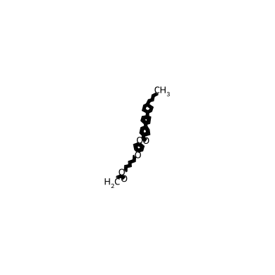 C=CC(=O)OCCCCCCOc1ccc(OC(=O)c2ccc(-c3ccc(C4CCC(CCCCC)CC4)cc3)cc2)cc1